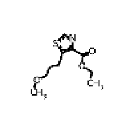 CCOC(=O)c1ncsc1CCCOC